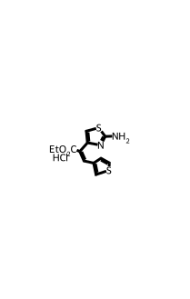 CCOC(=O)C(=Cc1ccsc1)c1csc(N)n1.Cl